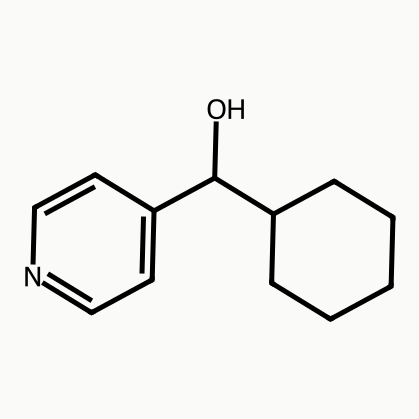 OC(c1ccncc1)C1CCCCC1